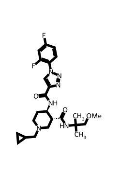 COCC(C)(C)NC(=O)[C@@H]1CN(CC2CC2)CC[C@H]1NC(=O)c1cn(-c2ccc(F)cc2F)nn1